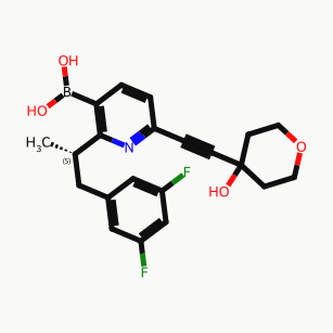 C[C@@H](Cc1cc(F)cc(F)c1)c1nc(C#CC2(O)CCOCC2)ccc1B(O)O